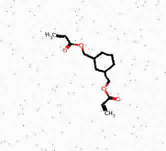 C=CC(=O)OCC1CCCC(COC(=O)C=C)C1